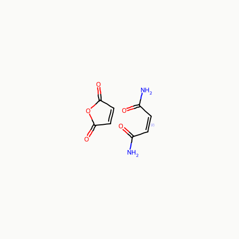 NC(=O)/C=C\C(N)=O.O=C1C=CC(=O)O1